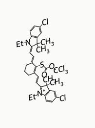 CCN1/C(=C/C=C2\CCCC(/C=C/C3=[N+](CC)c4ccc(Cl)cc4C3(C)C)=C2SC(=O)OC(Cl)(Cl)Cl)C(C)(C)c2cc(Cl)ccc21